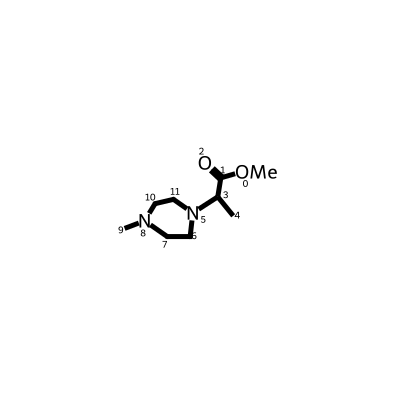 COC(=O)C(C)N1CCN(C)CC1